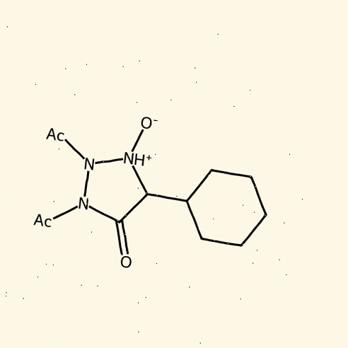 CC(=O)N1C(=O)C(C2CCCCC2)[NH+]([O-])N1C(C)=O